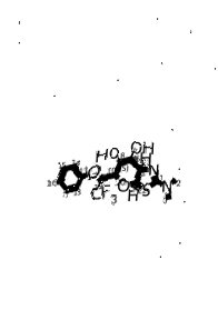 CN(C)C1=N[C@@H]2[C@@H](O)[C@H](O)C([C@@H](Oc3ccccc3)C(F)(F)F)O[C@@H]2S1